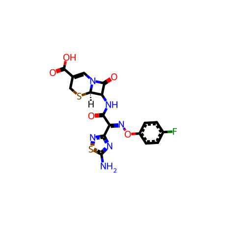 Nc1nc(C(=NOc2ccc(F)cc2)C(=O)NC2C(=O)N3C=C(C(=O)O)CS[C@H]23)ns1